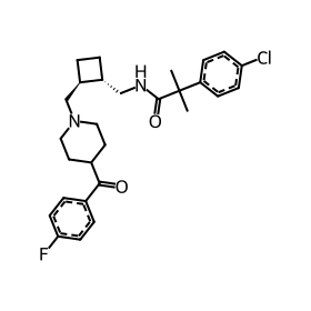 CC(C)(C(=O)NC[C@H]1CC[C@@H]1CN1CCC(C(=O)c2ccc(F)cc2)CC1)c1ccc(Cl)cc1